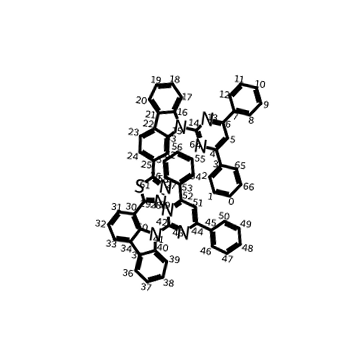 c1ccc(-c2cc(-c3ccccc3)nc(-n3c4ccccc4c4ccc(-c5nnc(-c6cccc7c8ccccc8n(-c8nc(-c9ccccc9)cc(-c9ccccc9)n8)c67)s5)cc43)n2)cc1